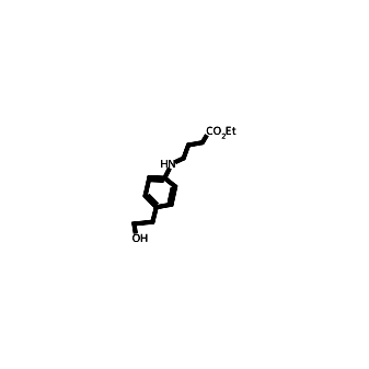 CCOC(=O)CCCNc1ccc(CCO)cc1